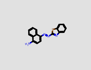 Nc1ccc(N=Nc2nc3ccccc3s2)c2ccccc12